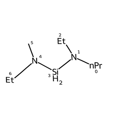 CCCN(CC)[SiH2]N(C)CC